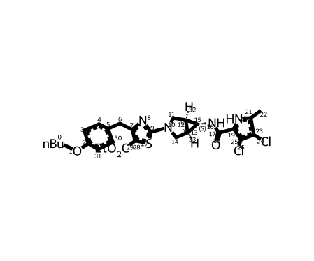 CCCCOc1ccc(Cc2nc(N3C[C@@H]4[C@H](C3)[C@H]4NC(=O)c3[nH]c(C)c(Cl)c3Cl)sc2C(=O)OCC)cc1